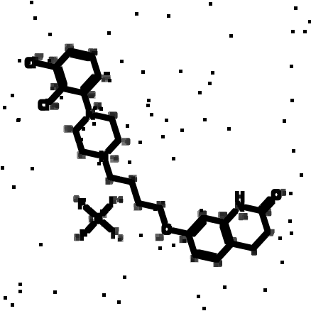 F[B-](F)(F)F.O=C1CCc2ccc(OCCCCN3CCN(c4cccc(Cl)c4Cl)CC3)cc2N1